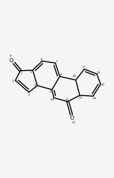 O=C1C=CC2C1=CC=C1C2=CC(=O)C2C=CC=CC12